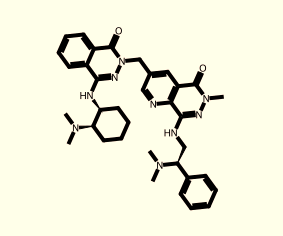 CN(C)[C@@H]1CCCC[C@@H]1Nc1nn(Cc2cnc3c(NC[C@@H](c4ccccc4)N(C)C)nn(C)c(=O)c3c2)c(=O)c2ccccc12